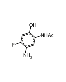 CC(=O)Nc1cc(N)c(F)cc1O